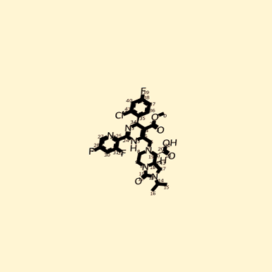 COC(=O)C1=C(CN2CCN3C(=O)N(C(C)C)C[C@@H]3[C@H]2C(=O)O)NC(c2ncc(F)cc2F)=N[C@H]1c1ccc(F)cc1Cl